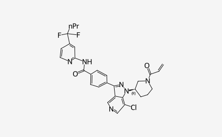 C=CC(=O)N1CCC[C@@H](n2nc(-c3ccc(C(=O)Nc4cc(C(F)(F)CCC)ccn4)cc3)c3cncc(Cl)c32)C1